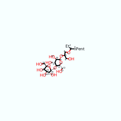 CCCCCC(CC)OCC(CO)O[C@H]1O[C@H](CO)[C@@H](O[C@H]2O[C@H](CO)[C@@H](O)[C@H](O)[C@H]2O)[C@H](O)[C@H]1O